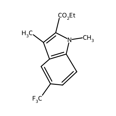 CCOC(=O)c1c(C)c2cc(C(F)(F)F)ccc2n1C